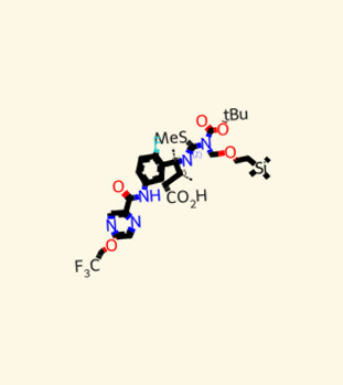 CS/C(=N\[C@](C)(c1cc(NC(=O)c2cnc(OCC(F)(F)F)cn2)ccc1F)[C@H](C)CC(=O)O)N(COCC[Si](C)(C)C)C(=O)OC(C)(C)C